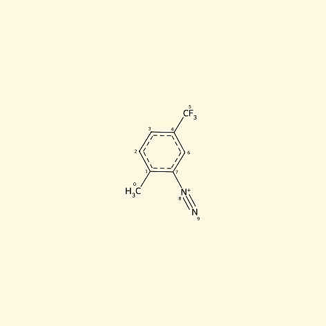 Cc1ccc(C(F)(F)F)cc1[N+]#N